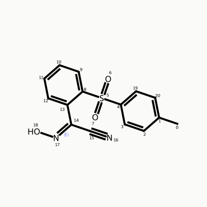 Cc1ccc(S(=O)(=O)c2ccccc2/C(C#N)=N\O)cc1